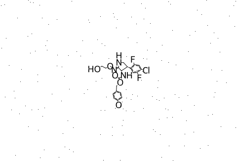 COc1ccc(COC(=O)N[C@@H]2/C(=N/OCCO)NC[C@H]2c2cc(F)c(Cl)cc2F)cc1